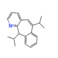 CC(C)C1=Cc2cccnc2C(C(C)C)c2ccccc21